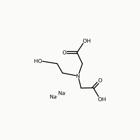 O=C(O)CN(CCO)CC(=O)O.[Na].[Na]